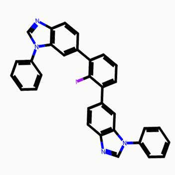 Ic1c(-c2ccc3ncn(-c4ccccc4)c3c2)cccc1-c1ccc2ncn(-c3ccccc3)c2c1